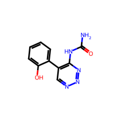 NC(=O)Nc1nnncc1-c1ccccc1O